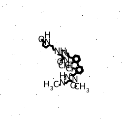 CCNCc1ncc(-c2cccc(-c3cccc(-c4cnc(CNCCC5CCC(=O)N5)c(OC)n4)c3Cl)c2Cl)nc1OC